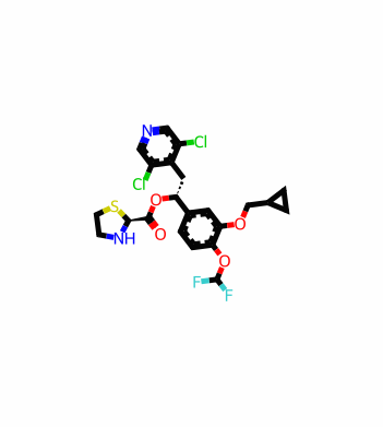 O=C(O[C@H](Cc1c(Cl)cncc1Cl)c1ccc(OC(F)F)c(OCC2CC2)c1)[C@H]1NCCS1